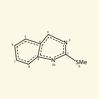 CSc1ncc2ccccc2n1